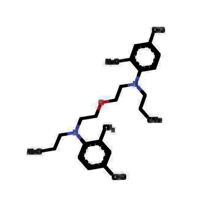 COCCN(CCOCCN(CCOC)c1ccc(C=O)cc1OC)c1ccc(C=O)cc1C